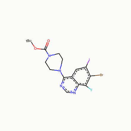 CC(C)(C)OC(=O)N1CCN(c2ncnc3c(F)c(Br)c(I)cc23)CC1